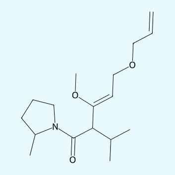 C=CCOC/C=C(\OC)C(C(=O)N1CCCC1C)C(C)C